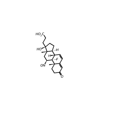 C[C@]12CCC(=O)C=C1C=C[C@H]1[C@@H]3CC[C@@](O)(CCC(=O)O)[C@@]3(C)C[C@H](N=O)[C@@]12F